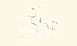 COc1cc2c(cc1[N+](=O)[O-])-c1cnn(C)c1CCN2C1CCOCC1